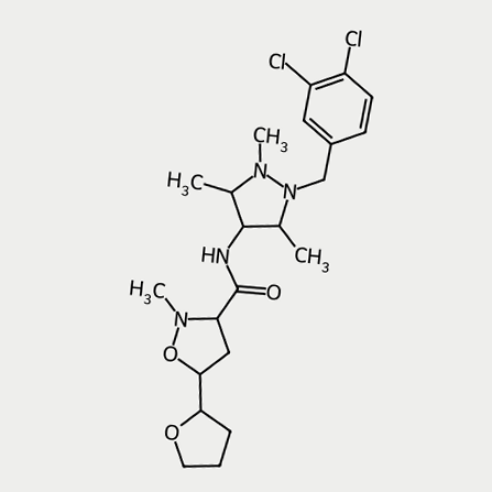 CC1C(NC(=O)C2CC(C3CCCO3)ON2C)C(C)N(Cc2ccc(Cl)c(Cl)c2)N1C